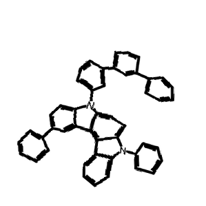 c1ccc(-c2cccc(-c3cccc(-n4c5ccc(-c6ccccc6)cc5c5c6c7ccccc7n(-c7ccccc7)c6ccc54)c3)c2)cc1